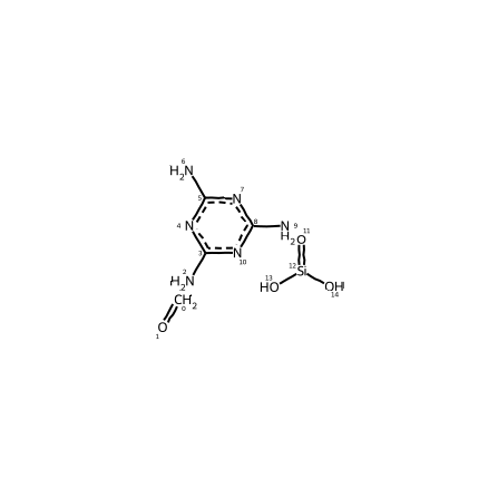 C=O.Nc1nc(N)nc(N)n1.O=[Si](O)O